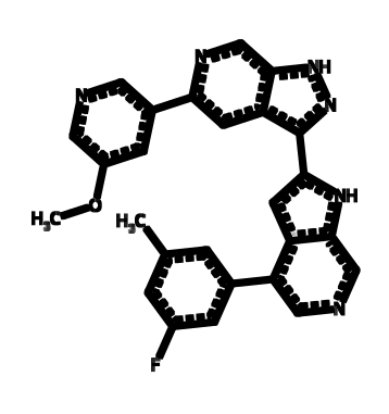 COc1cncc(-c2cc3c(-c4cc5c(-c6cc(C)cc(F)c6)cncc5[nH]4)n[nH]c3cn2)c1